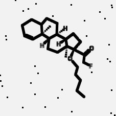 CCCCCO[C@]1(C(=O)CF)CC[C@H]2[C@@H]3CCC4CCC=C[C@]4(C)[C@H]3CC[C@@]21C